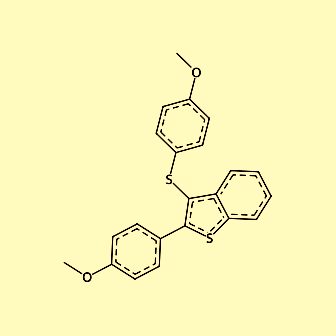 COc1ccc(Sc2c(-c3ccc(OC)cc3)sc3ccccc23)cc1